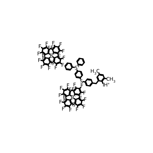 Cc1cc(C)c([IH+])c(Cc2ccc(Sc3ccc([S+](c4ccccc4)c4ccccc4)cc3)cc2)c1.Fc1c(F)c(F)c([B-](c2c(F)c(F)c(F)c(F)c2F)(c2c(F)c(F)c(F)c(F)c2F)c2c(F)c(F)c(F)c(F)c2F)c(F)c1F.Fc1c(F)c(F)c([B-](c2c(F)c(F)c(F)c(F)c2F)(c2c(F)c(F)c(F)c(F)c2F)c2c(F)c(F)c(F)c(F)c2F)c(F)c1F